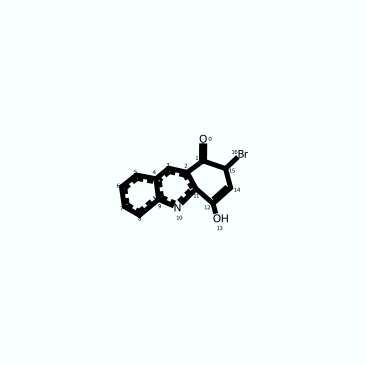 O=C1c2cc3ccccc3nc2C(O)=CC1Br